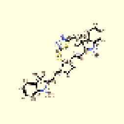 CCN1/C(=C/C=C2\CCC(/C=C/C3=[N+](CC)c4ccccc4C3(C)C)=C2Sc2nnc(SC)s2)C(C)(C)c2ccccc21